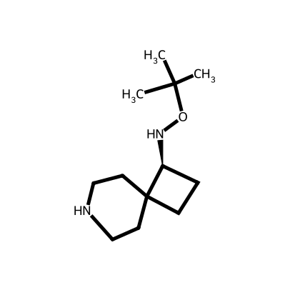 CC(C)(C)ON[C@H]1CCC12CCNCC2